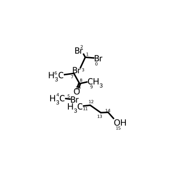 BrC(Br)Br.CBr.CCC(C)=O.CCCCO